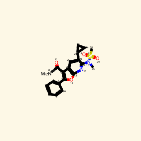 CNC(=O)c1c(-c2ccccc2)oc2nc(N(C)S(C)(=O)=O)c(C3CC3)cc12